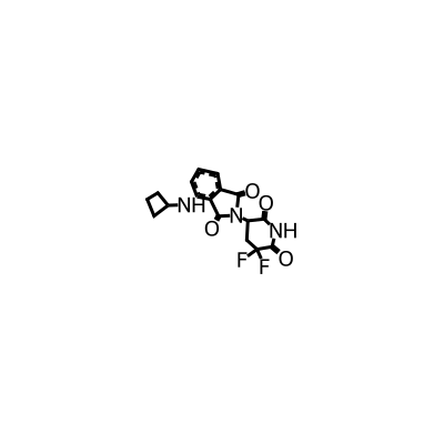 O=C1NC(=O)C(F)(F)CC1N1C(=O)c2cccc(NC3CCC3)c2C1=O